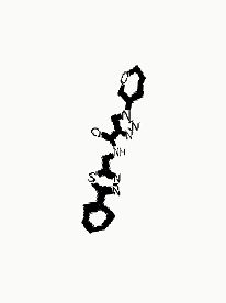 O=C(NCc1nnc(-c2ccccc2)s1)c1cn(C2CCCOC2)nn1